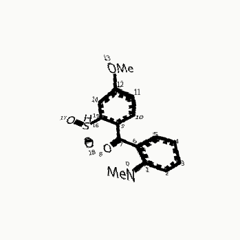 CNc1ccccc1C(=O)c1ccc(OC)cc1[SH](=O)=O